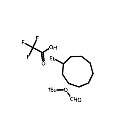 CC(C)(C)OC=O.CCC1CCCCCCCC1.O=C(O)C(F)(F)F